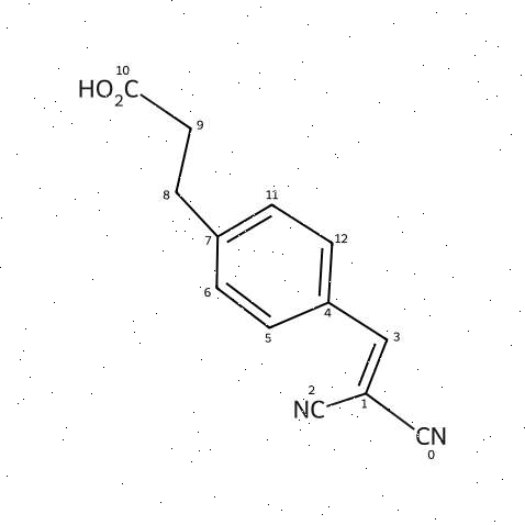 N#CC(C#N)=Cc1ccc(CCC(=O)O)cc1